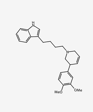 COc1ccc(C2C=CCN(CCCCc3c[nH]c4ccccc34)C2)cc1OC